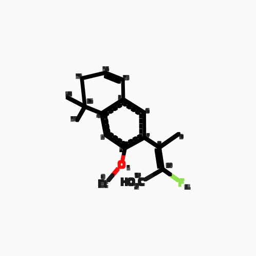 CCOc1cc2c(cc1/C(C)=C(/F)C(=O)O)C=CCC2(C)C